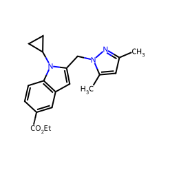 CCOC(=O)c1ccc2c(c1)cc(Cn1nc(C)cc1C)n2C1CC1